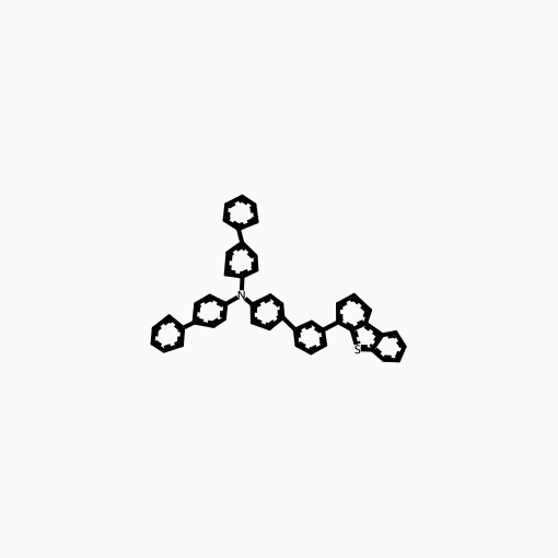 c1ccc(-c2ccc(N(c3ccc(-c4ccccc4)cc3)c3ccc(-c4cccc(-c5cccc6c5sc5ccccc56)c4)cc3)cc2)cc1